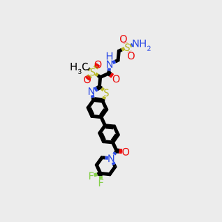 CS(=O)(=O)C(C(=O)NCCS(N)(=O)=O)c1nc2ccc(-c3ccc(C(=O)N4CCC(F)(F)CC4)cc3)cc2s1